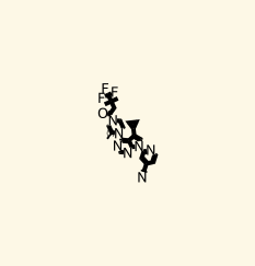 C[C@H]1CN(C(=O)CC(C)(C)C(F)(F)F)CCN1c1ncnc2c1c(C1CC1)cn2-c1cc(C#N)ccn1